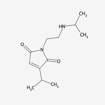 CC(C)NCCN1C(=O)C=C(C(C)C)C1=O